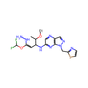 CCOC(C)C(/C=C(\NN)OC(F)F)Nc1cnc2cnn(Cc3nccs3)c2n1